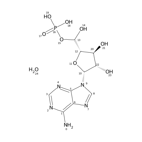 Nc1ncnc2c1ncn2[C@@H]1O[C@H](C(O)OP(=O)(O)O)[C@@H](O)[C@@H]1O.O